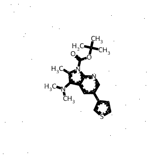 Cc1c(N(C)C)c2cc(-c3ccsc3)cnc2n1C(=O)OC(C)(C)C